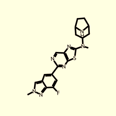 CN(c1nc2cnc(-c3cc(F)c4nn(C)cc4c3)nc2s1)C1CC2CCC(C1)N2